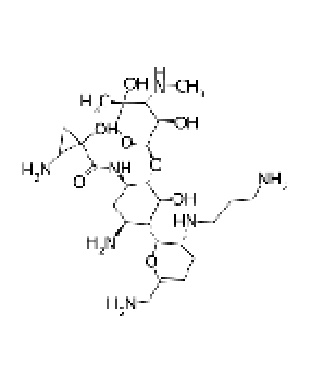 CN[C@@H]1[C@@H](O)[C@@H](O[C@H]2[C@H](NC(=O)C3(O)CC3N)C[C@H](N)C([C@H]3OC(CN)=CC[C@H]3NCCCN)[C@@H]2O)OC[C@]1(C)O